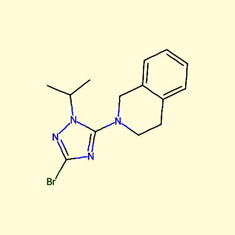 CC(C)n1nc(Br)nc1N1CCc2ccccc2C1